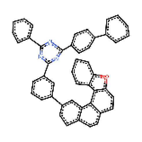 c1ccc(-c2ccc(-c3nc(-c4ccccc4)nc(-c4cccc(-c5ccc6ccc7ccc8oc9ccccc9c8c7c6c5)c4)n3)cc2)cc1